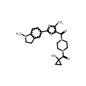 Cc1nc(-c2ccc3c(c2)CCN3C)sc1C(=O)N1CCN(C(=O)C2(O)CC2)CC1